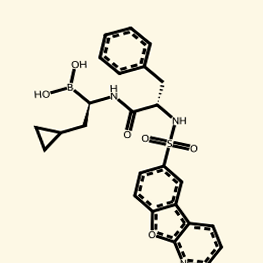 O=C(N[C@@H](CC1CC1)B(O)O)[C@H](Cc1ccccc1)NS(=O)(=O)c1ccc2oc3ncccc3c2c1